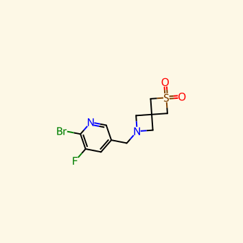 O=S1(=O)CC2(CN(Cc3cnc(Br)c(F)c3)C2)C1